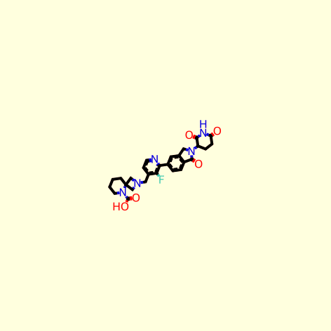 O=C1CCC(N2Cc3cc(-c4nccc(CN5CC6(CCCCN6C(=O)O)C5)c4F)ccc3C2=O)C(=O)N1